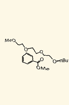 CCCCOCCOCCOCCOC.COC(=O)c1ccccc1